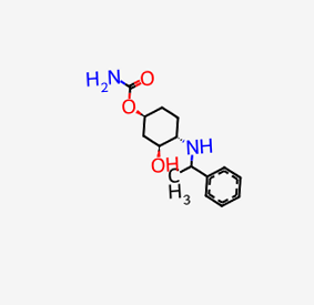 CC(N[C@H]1CC[C@H](OC(N)=O)C[C@@H]1O)c1ccccc1